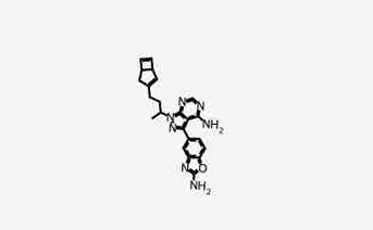 CC(CCC1=CC2C=CC2C1)n1nc(-c2ccc3oc(N)nc3c2)c2c(N)ncnc21